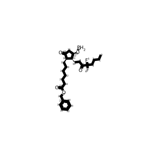 CCCCC(F)(F)C(=O)CC[C@H]1[C@H](OP)CC(=O)[C@@H]1CCCCCCC(=O)OCc1ccccc1